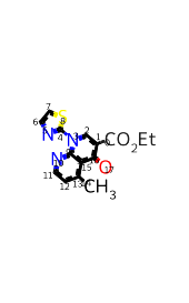 CCOC(=O)c1cn(-c2nccs2)c2nccc(C)c2c1=O